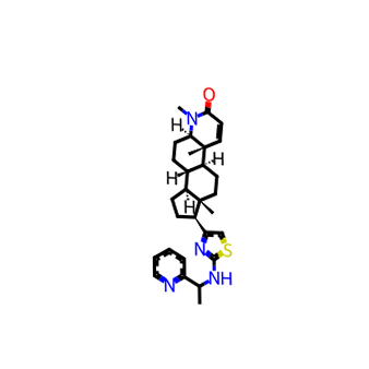 CC(Nc1nc([C@H]2CC[C@H]3[C@@H]4CC[C@H]5N(C)C(=O)C=C[C@]5(C)[C@H]4CC[C@]23C)cs1)c1ccccn1